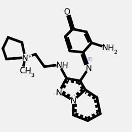 C[N+]1(CCNc2nn3ccccc3c2/N=C2\C=CC(=O)C=C2N)CCCC1